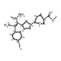 COC(=O)c1ccc(-n2cnc(/C(=C(/N)c3ccc(F)cc3)N(C)N)c2)cc1